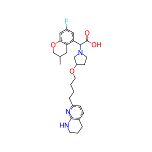 CC1COc2cc(F)cc(C(C(=O)O)N3CCC(OCCCCc4ccc5c(n4)NCCC5)C3)c2C1